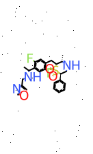 CC(NCc1cocn1)c1cc(F)c(CC2[C@H](C)NC[C@@H](c3ccccc3)S2(=O)=O)cc1F